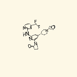 O=C1CCCN1c1cc(C2CCN(C3COC3)CC2)cc(Nc2cc(C(F)F)ccn2)n1